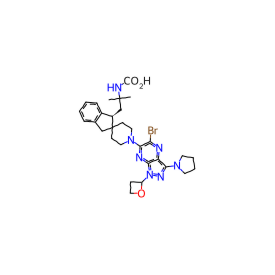 CC(C)(C[C@@H]1c2ccccc2CC12CCN(c1nc3c(nc1Br)c(N1CCCC1)nn3C1CCO1)CC2)NC(=O)O